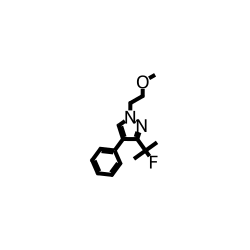 COCCn1cc(-c2ccccc2)c(C(C)(C)F)n1